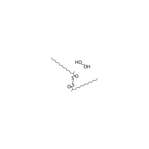 CCCCCCCCCCCCC(C)C(=O)SCCSC(=O)C(C)CCCCCCCCCCCC.OCCO